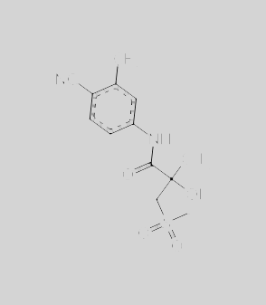 CC(O)(CS(=O)(=O)I)C(=O)Nc1ccc(C#N)c(C(F)(F)F)c1